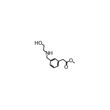 COC(=O)Cc1cccc(CNCCO)c1